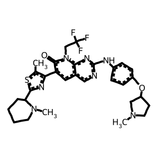 Cc1sc(C2CCCCN2C)nc1-c1cc2cnc(Nc3ccc(OC4CCN(C)C4)cc3)nc2n(CC(F)(F)F)c1=O